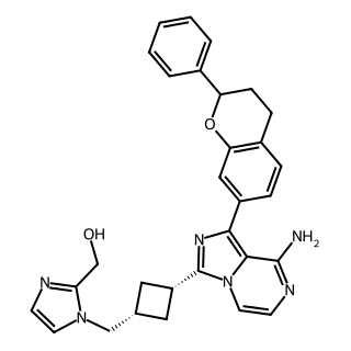 Nc1nccn2c1c(-c1ccc3c(c1)OC(c1ccccc1)CC3)nc2[C@H]1C[C@@H](Cn2ccnc2CO)C1